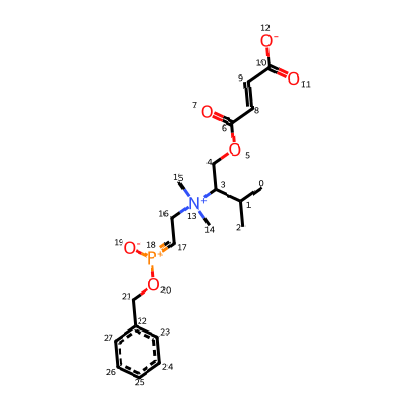 CC(C)C(COC(=O)C=CC(=O)[O-])[N+](C)(C)C/C=[P+](\[O-])OCc1ccccc1